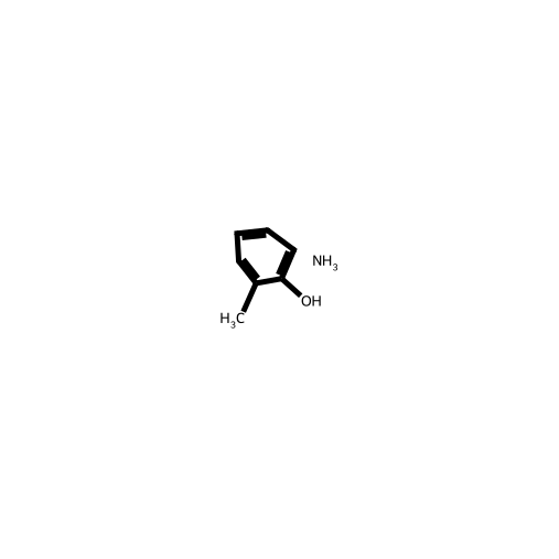 Cc1ccccc1O.N